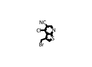 N#Cc1cnc2scc(CBr)c2c1Cl